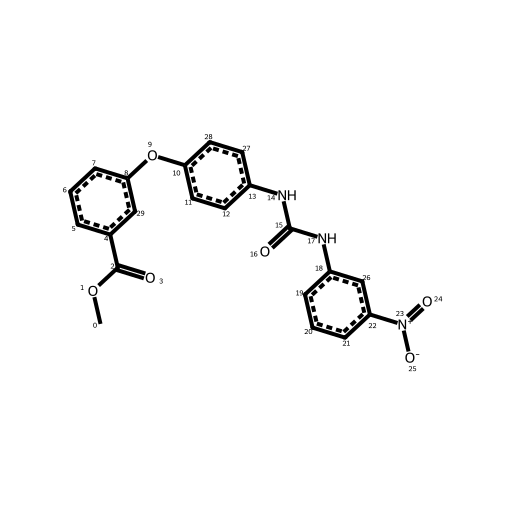 COC(=O)c1cccc(Oc2ccc(NC(=O)Nc3cccc([N+](=O)[O-])c3)cc2)c1